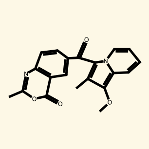 COc1c(C)c(C(=O)c2ccc3nc(C)oc(=O)c3c2)n2ccccc12